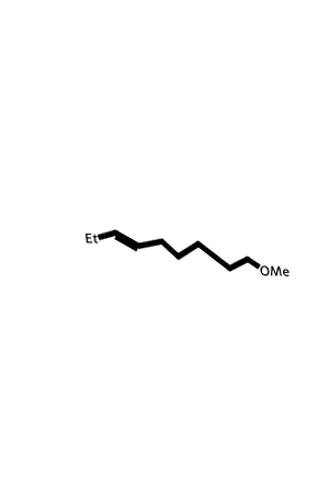 CC/C=C/CCCCCOC